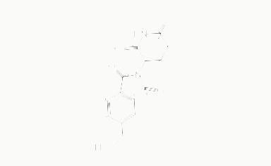 COc1ccc2c(c1)C(=O)N(C1CCC(=O)NC1=O)C2=O